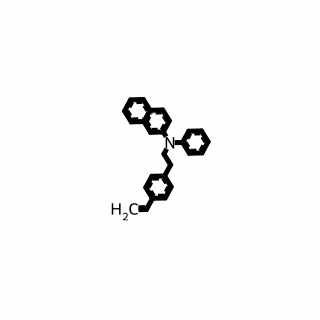 C=Cc1ccc(CCN(c2ccccc2)c2ccc3ccccc3c2)cc1